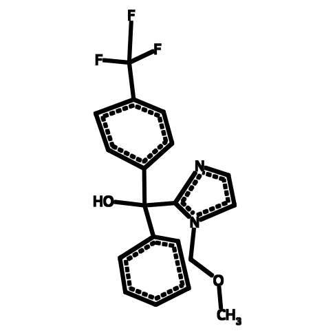 COCn1ccnc1C(O)(c1ccccc1)c1ccc(C(F)(F)F)cc1